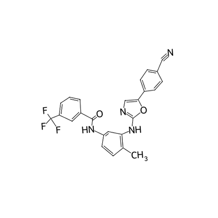 Cc1ccc(NC(=O)c2cccc(C(F)(F)F)c2)cc1Nc1ncc(-c2ccc(C#N)cc2)o1